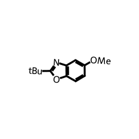 COc1ccc2oc(C(C)(C)C)nc2c1